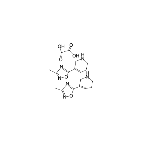 Cc1noc(C2=CCCNC2)n1.Cc1noc(C2=CCCNC2)n1.O=C(O)C(=O)O